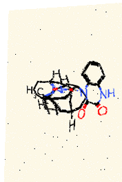 C[C@@H]1CCC2CC[C@H](C1)C[C@H]2N1[C@@H]2CCC[C@H]1C[C@@H](n1c(=O)c(=O)[nH]c3ccccc31)C2